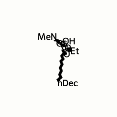 CCCCCCCCCCCCCCCCCCCC(COP(O)OCCNC)OC(=O)CC